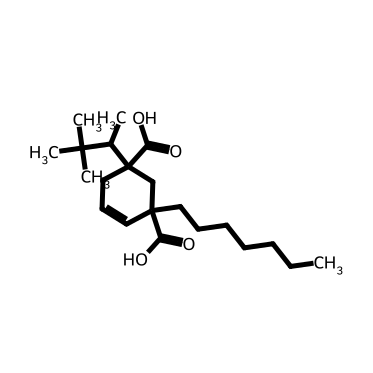 CCCCCCCC1(C(=O)O)C=CCC(C(=O)O)(C(C)C(C)(C)C)C1